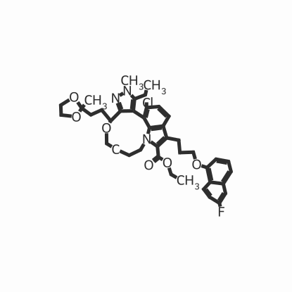 CCOC(=O)c1c(CCCOc2cccc3cc(F)ccc23)c2ccc(Cl)c3c2n1CCCCOC(CCC1(C)OCCO1)c1nn(C)c(CC)c1-3